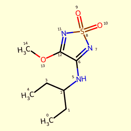 CCC(CC)NC1=NS(=O)(=O)N=C1OC